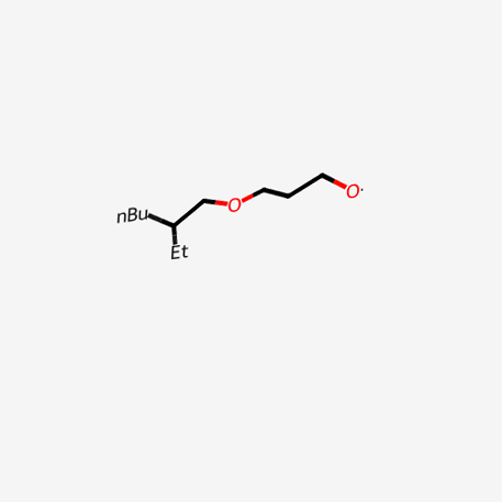 CCCCC(CC)COCCC[O]